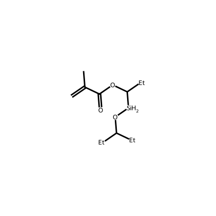 C=C(C)C(=O)OC(CC)[SiH2]OC(CC)CC